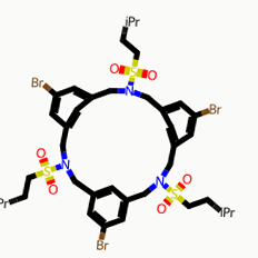 CC(C)CCS(=O)(=O)N1Cc2cc(Br)cc(c2)CN(S(=O)(=O)CCC(C)C)Cc2cc(Br)cc(c2)CN(S(=O)(=O)CCC(C)C)Cc2cc(Br)cc(c2)C1